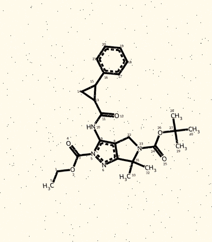 CCOC(=O)n1nc2c(c1NC(=O)C1CC1c1ccccc1)CN(C(=O)OC(C)(C)C)C2(C)C